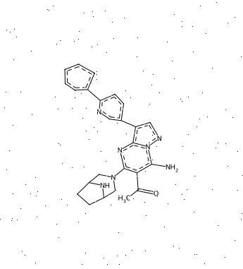 CC(=O)c1c(N2CC3CCC(C2)N3)nc2c(-c3ccc(-c4ccccc4)nc3)cnn2c1N